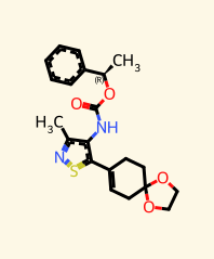 Cc1nsc(C2=CCC3(CC2)OCCO3)c1NC(=O)O[C@H](C)c1ccccc1